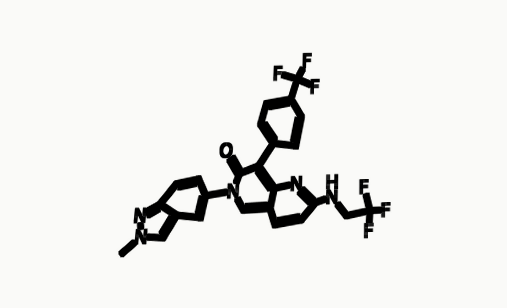 Cn1cc2cc(-n3cc4ccc(NCC(F)(F)F)nc4c(-c4ccc(C(F)(F)F)cc4)c3=O)ccc2n1